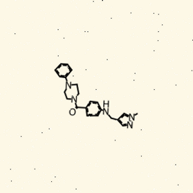 Cn1cc(CNc2ccc(C(=O)N3CCN(c4ccccc4)CC3)cc2)cn1